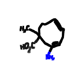 CC1(C(=O)O)CC=CC=C1N